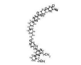 CCc1cnn2c(NCc3ccc(OCCCC4CCN(CC5CCN(c6ncc(C(=O)N[C@H]7CC[C@H](Oc8ccc(C#N)c(Cl)c8)CC7)cn6)CC5)CC4)nc3)cc(N3CCCC[C@H]3CCO)nc12